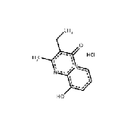 CCc1c(C)nc2c(O)cccn2c1=O.Cl